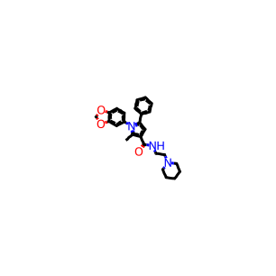 Cc1c(C(=O)NCCN2CCCCC2)cc(-c2ccccc2)n1-c1ccc2c(c1)OCO2